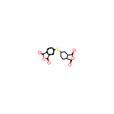 O=C1OC(=O)c2cc(SC3CCC4C(=O)OC(=O)C4C3)ccc21